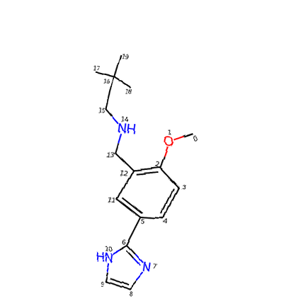 COc1ccc(-c2ncc[nH]2)cc1CNCC(C)(C)C